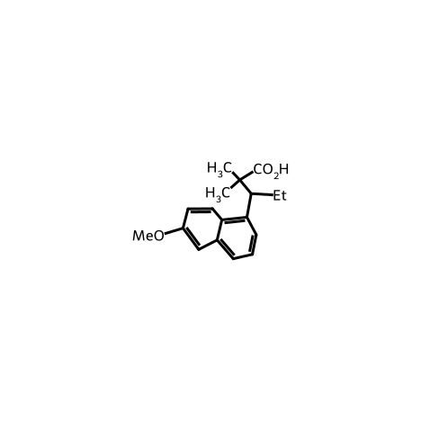 CCC(c1cccc2cc(OC)ccc12)C(C)(C)C(=O)O